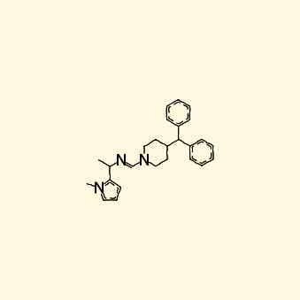 CC(N=CN1CCC(C(c2ccccc2)c2ccccc2)CC1)c1cccn1C